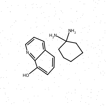 NC1(N)CCCCC1.Oc1cccc2cccnc12